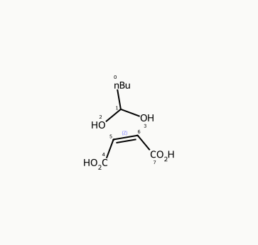 CCCCC(O)O.O=C(O)/C=C\C(=O)O